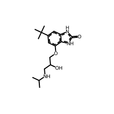 CC(C)NCC(O)COc1cc(C(C)(C)C)cc2[nH]c(=O)[nH]c12